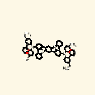 CCc1ccc(N(c2ccc(C)cc2)c2ccc3c4cc5c(cc4n4c6ccccc6c2c34)c2ccc(N(c3ccc(C)cc3)c3ccc(CC)cc3-c3ccccc3)c3c4ccccc4n5c23)c(-c2ccccc2)c1